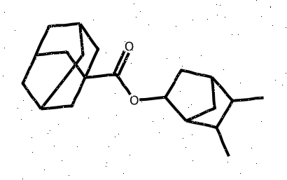 CC1C2CC(OC(=O)C34CC5CC(CC(C5)C3)C4)C(C2)C1C